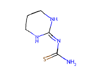 NC(=S)N=C1NCCCN1